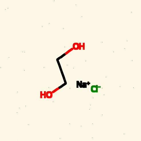 OCCO.[Cl-].[Na+]